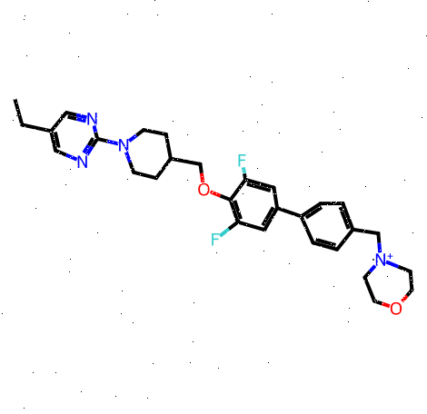 CCc1cnc(N2CCC(COc3c(F)cc(-c4ccc(C[N+]5CCOCC5)cc4)cc3F)CC2)nc1